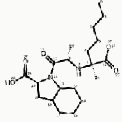 CCCCC[C@](C)(N[C@@H](C)C(=O)N1C2CCCCC2C[C@H]1C(=O)O)C(=O)O